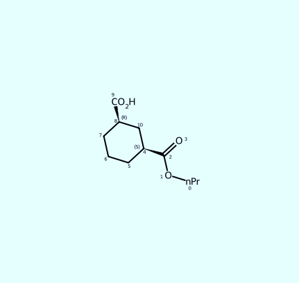 CCCOC(=O)[C@H]1CCC[C@@H](C(=O)O)C1